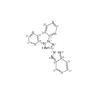 c1ccc(N2N=C(n3nc4ccccc4n3)NN2c2ccccc2)cc1